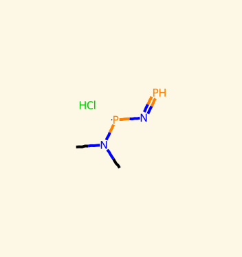 CN(C)[P]N=P.Cl